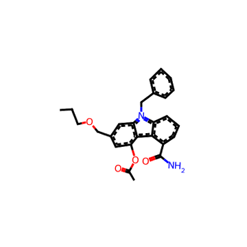 CCCOCc1cc(OC(C)=O)c2c3c(C(N)=O)cccc3n(Cc3ccccc3)c2c1